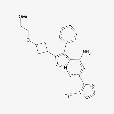 COCCOC1CC(c2cn3nc(-c4nccn4C)nc(N)c3c2-c2ccccc2)C1